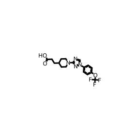 O=C(O)CCC1CCN(c2ncn(-c3ccc(OC(F)(F)F)cc3)n2)CC1